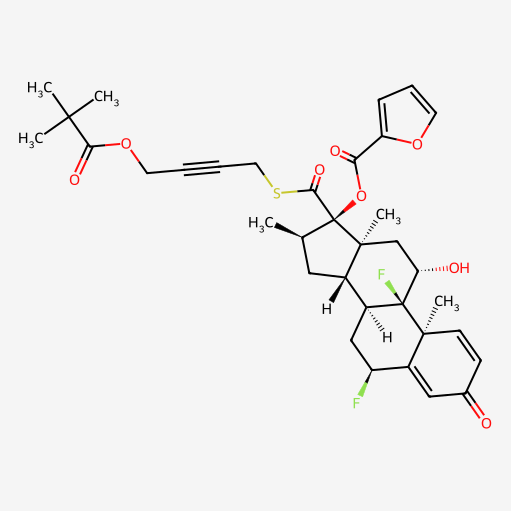 C[C@@H]1C[C@H]2[C@@H]3C[C@H](F)C4=CC(=O)C=C[C@]4(C)[C@@]3(F)[C@@H](O)C[C@]2(C)[C@@]1(OC(=O)c1ccco1)C(=O)SCC#CCOC(=O)C(C)(C)C